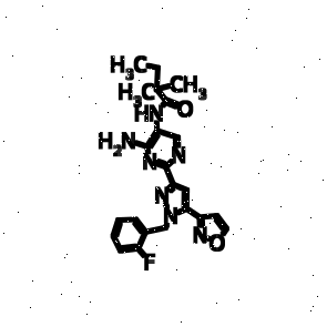 CCC(C)(C)C(=O)Nc1cnc(-c2cc(-c3ccon3)n(Cc3ccccc3F)n2)nc1N